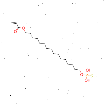 C=CC(=O)OCCCCCCCCCCCCCCCCOP(O)(O)=S